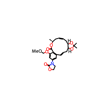 COCOc1cc(N2CCOC2=O)cc2c1C(=O)O[C@@H](C)C/C=C\C[C@H]1OC(C)(C)O[C@H]1C/C=C/2